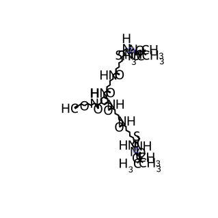 C#CCOCCNC(=O)c1cc(NC(=O)CCCCNC(=O)CCCCC2SCC3N/C(=N/C(=O)OC(C)(C)C)NC32)cc(NC(=O)CCCCNC(=O)CCCCC2SCC3N/C(=N\C(=O)OC(C)(C)C)NC32)c1